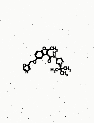 Cc1oc2ccc(OCc3cnco3)cc2c1C(=O)N[C@@H]1CCN(C(C)(C)C)C1